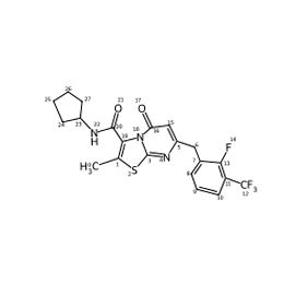 Cc1sc2nc(Cc3cccc(C(F)(F)F)c3F)cc(=O)n2c1C(=O)NC1CCCC1